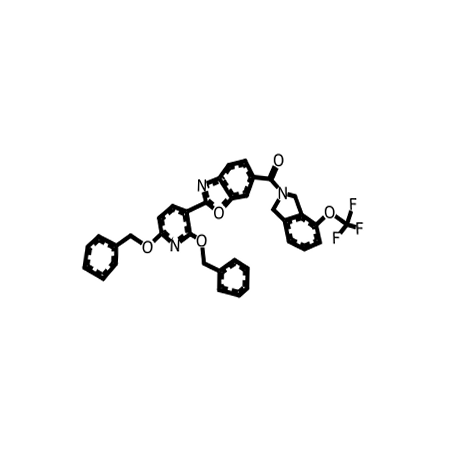 O=C(c1ccc2nc(-c3ccc(OCc4ccccc4)nc3OCc3ccccc3)oc2c1)N1Cc2cccc(OC(F)(F)F)c2C1